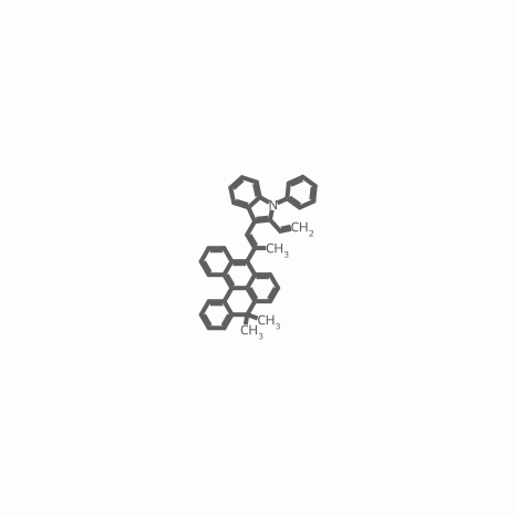 C=Cc1c(/C=C(\C)c2c3ccccc3c3c4c(cccc24)C(C)(C)c2ccccc2-3)c2ccccc2n1-c1ccccc1